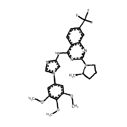 COc1cc(-n2cnc(Nc3nc(N4CCC[C@H]4C)nc4cc(C(F)(F)F)ccc34)c2)cc(OC)c1OC